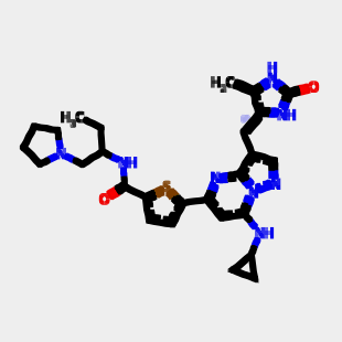 C=c1[nH]c(=O)[nH]/c1=C\c1cnn2c(NC3CC3)cc(-c3ccc(C(=O)NC(CC)CN4CCCC4)s3)nc12